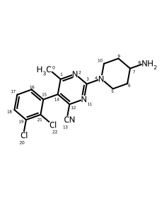 Cc1nc(N2CCC(N)CC2)nc(C#N)c1-c1cccc(Cl)c1Cl